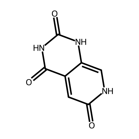 O=c1cc2c(=O)[nH]c(=O)[nH]c2c[nH]1